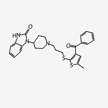 Cc1cc(C(=O)c2ccccc2)c(SCCCN2CCC(n3c(=O)[nH]c4ccccc43)CC2)s1